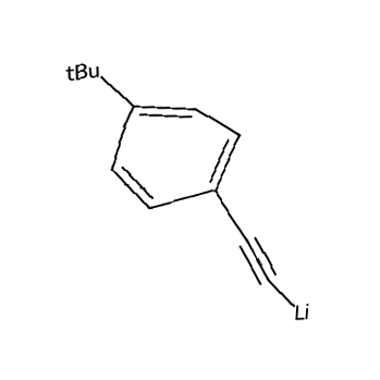 [Li][C]#Cc1ccc(C(C)(C)C)cc1